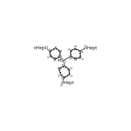 CCCCCCCc1ccc([SiH](c2ccc(CCCCCCC)cc2)c2ccc(CCCCCCC)cc2)cc1